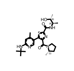 Cc1cc(NC(C)(C)C)ncc1-c1sc(C(=O)N[C@H](C)[C@@H](C)O)nc1C(=O)N1CCC[C@@H]1C